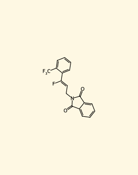 O=C1c2ccccc2C(=O)N1CC=C(F)c1ccccc1C(F)(F)F